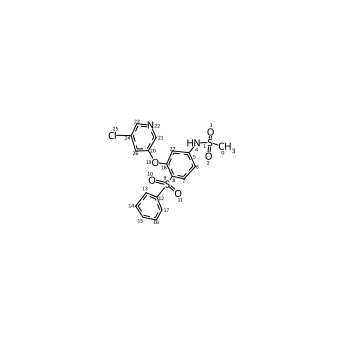 CS(=O)(=O)Nc1ccc(S(=O)(=O)c2ccccc2)c(Oc2cncc(Cl)c2)c1